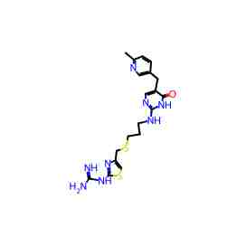 Cc1ccc(Cc2cnc(NCCCSCc3csc(NC(=N)N)n3)[nH]c2=O)cn1